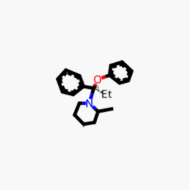 CC[C@@](Oc1ccccc1)(c1ccccc1)N1CC[CH]CC1C